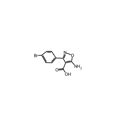 Nc1onc(-c2ccc(Br)cc2)c1C(=O)O